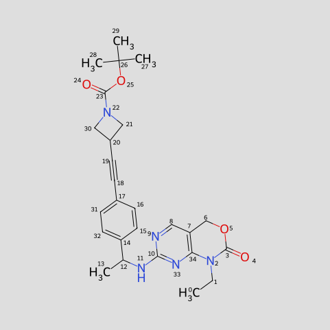 CCN1C(=O)OCc2cnc(NC(C)c3ccc(C#CC4CN(C(=O)OC(C)(C)C)C4)cc3)nc21